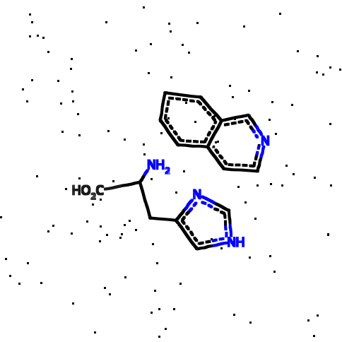 NC(Cc1c[nH]cn1)C(=O)O.c1ccc2cnccc2c1